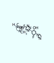 C[C@]12CC[C@](C)(C[C@@H](Sc3cnc(-c4cc(F)c(-n5ccnc5)cc4O)nn3)C1)N2